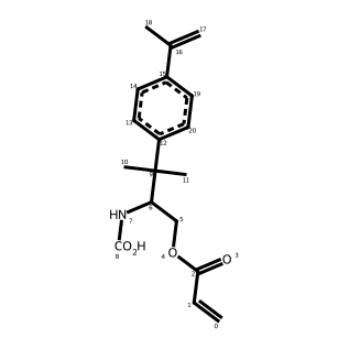 C=CC(=O)OCC(NC(=O)O)C(C)(C)c1ccc(C(=C)C)cc1